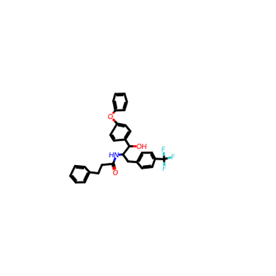 O=C(CCc1ccccc1)NC(Cc1ccc(C(F)(F)F)cc1)C(O)c1ccc(Oc2ccccc2)cc1